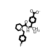 C[C@H](NC(=O)C1CCCCN1Cc1ccc(F)cc1)c1ccc(C(=O)[O-])cc1.[Li+]